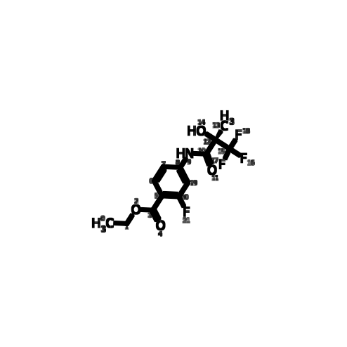 CCOC(=O)c1ccc(NC(=O)[C@](C)(O)C(F)(F)F)cc1F